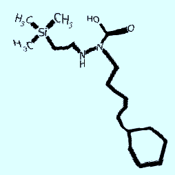 C[Si](C)(C)CCNN(CCCCC1CCCCC1)C(=O)O